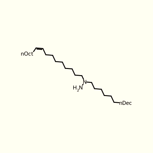 CCCCCCCC/C=C\CCCCCCCCN(N)CCCCCCCCCCCCCCCC